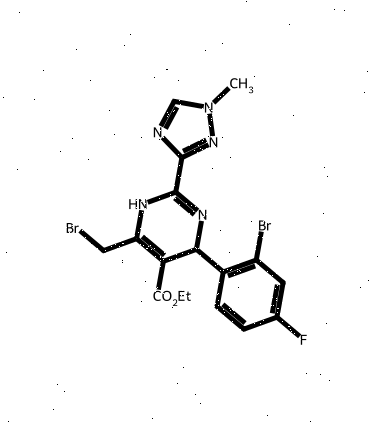 CCOC(=O)C1=C(CBr)NC(c2ncn(C)n2)=NC1c1ccc(F)cc1Br